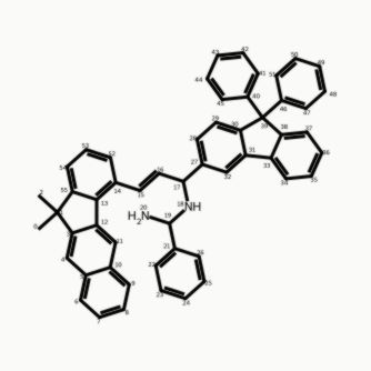 CC1(C)c2cc3ccccc3cc2-c2c(/C=C/C(NC(N)c3ccccc3)c3ccc4c(c3)-c3ccccc3C4(c3ccccc3)c3ccccc3)cccc21